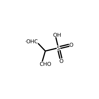 O=[C]C(C=O)S(=O)(=O)O